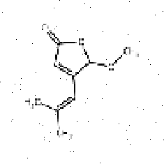 COC1OC(=O)C=C1C=C(C)C